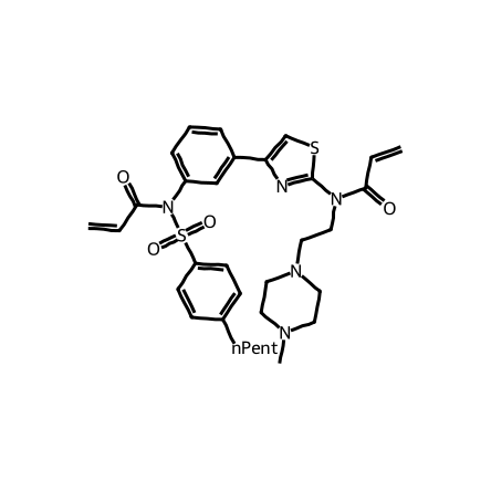 C=CC(=O)N(CCN1CCN(C)CC1)c1nc(-c2cccc(N(C(=O)C=C)S(=O)(=O)c3ccc(CCCCC)cc3)c2)cs1